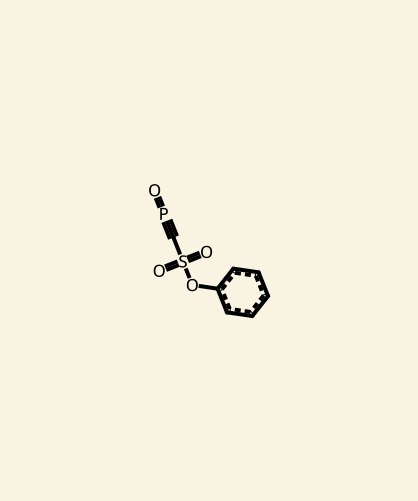 O=P#CS(=O)(=O)Oc1ccccc1